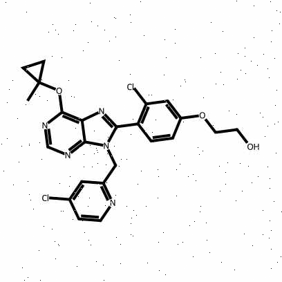 CC1(Oc2ncnc3c2nc(-c2ccc(OCCO)cc2Cl)n3Cc2cc(Cl)ccn2)CC1